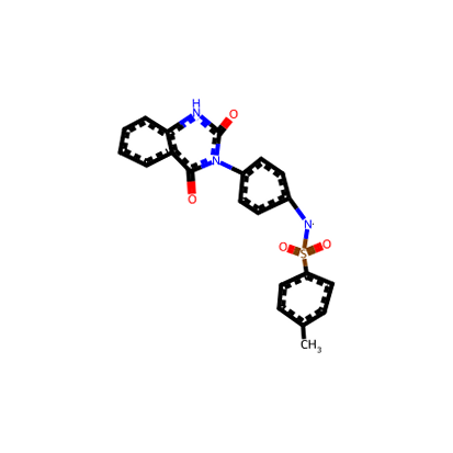 Cc1ccc(S(=O)(=O)[N]c2ccc(-n3c(=O)[nH]c4ccccc4c3=O)cc2)cc1